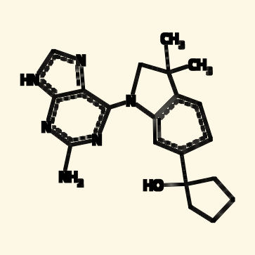 CC1(C)CN(c2nc(N)nc3[nH]cnc23)c2cc(C3(O)CCCC3)ccc21